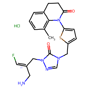 Cc1cccc2c1N(c1ccc(Cn3cnn(C/C(=C\F)CN)c3=O)s1)C(=O)CC2.Cl